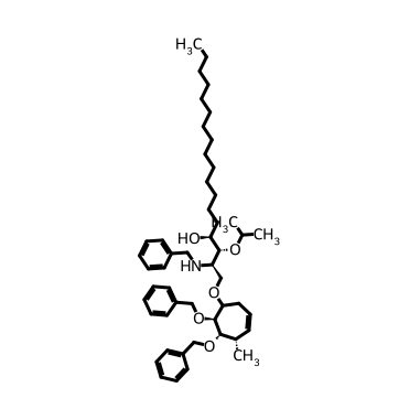 CCCCCCCCCCCCCC[C@H](O)[C@H](OC(C)C)[C@@H](COC1CC=C[C@H](C)[C@H](OCc2ccccc2)[C@H]1OCc1ccccc1)NCc1ccccc1